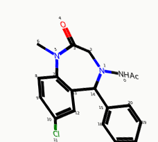 CC(=O)NN1CC(=O)N(C)c2ccc(Cl)cc2C1c1ccccc1